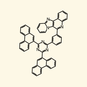 c1cc(-c2nc(-c3cc4ccccc4c4ccccc34)nc(-c3cc4ccccc4c4ccccc34)n2)cc(-c2nc3ccccc3c3nc4ccccn4c23)c1